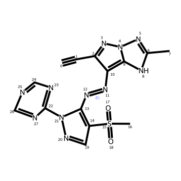 C#Cc1nn2nc(C)[nH]c2c1/N=N/c1c(S(C)(=O)=O)cnn1-c1ncncn1